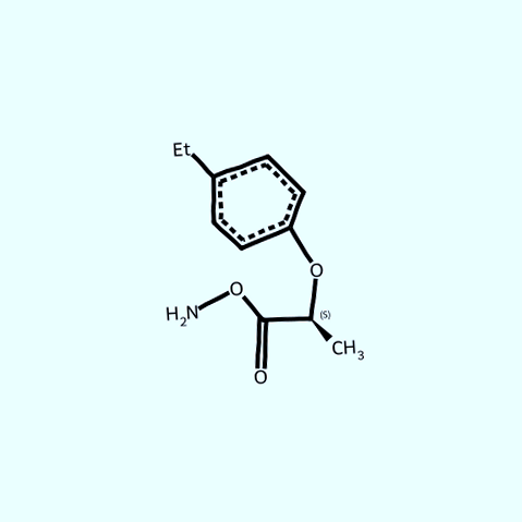 CCc1ccc(O[C@@H](C)C(=O)ON)cc1